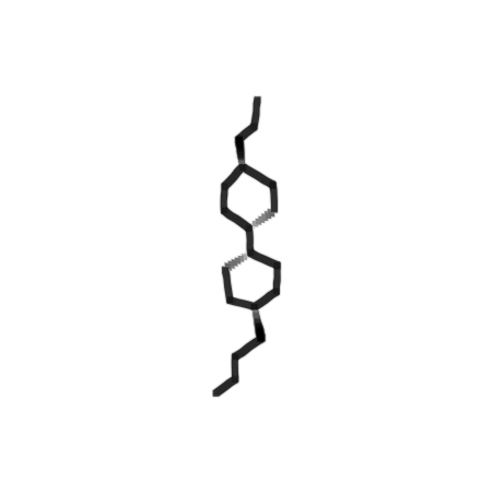 CCCC[C@H]1CC[C@H]([C@H]2CC[C@H](CCC)CC2)CC1